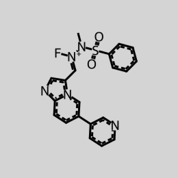 CN([N+](F)=Cc1cnc2ccc(-c3cccnc3)cn12)S(=O)(=O)c1ccccc1